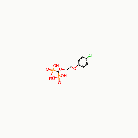 O=P(O)(O)C(OCCOc1ccc(Cl)cc1)P(=O)(O)O